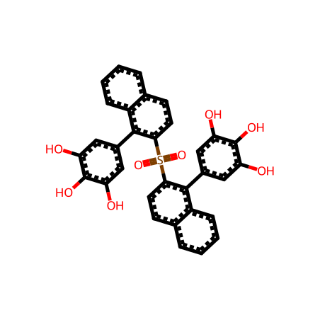 O=S(=O)(c1ccc2ccccc2c1-c1cc(O)c(O)c(O)c1)c1ccc2ccccc2c1-c1cc(O)c(O)c(O)c1